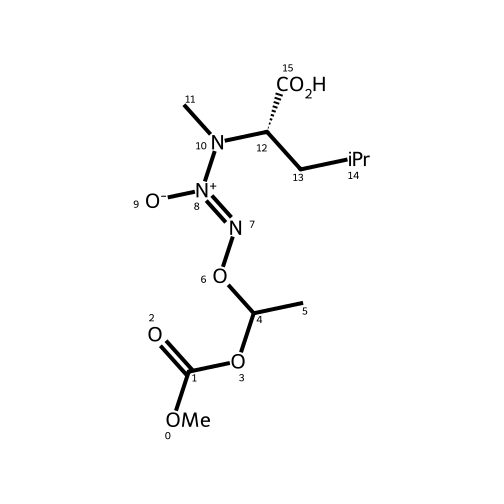 COC(=O)OC(C)ON=[N+]([O-])N(C)[C@@H](CC(C)C)C(=O)O